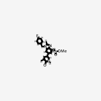 CO[SH](=O)=Nc1cc(-c2cc(C)c(=O)n(C)c2)cc2c1nc(C)n2Cc1ccc(F)cc1